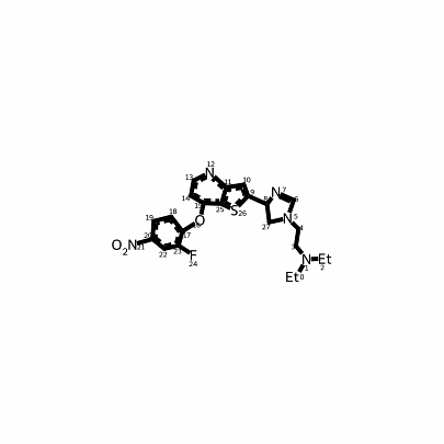 CCN(CC)CCN1C=NC(c2cc3nccc(Oc4ccc([N+](=O)[O-])cc4F)c3s2)C1